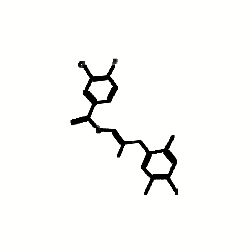 C=C(S/C=C(\C)Cc1cc(C)c(I)cc1C)c1ccc(F)c(Cl)c1